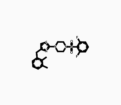 Cc1cccc(Cc2csc(N3CCN(S(=O)(=O)c4c(F)cccc4F)CC3)n2)c1C